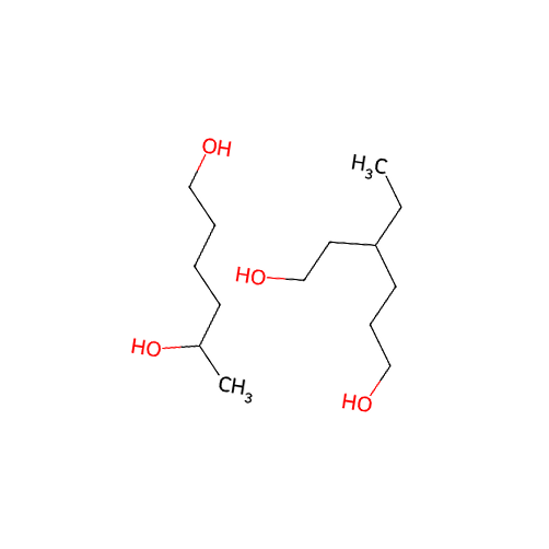 CC(O)CCCCO.CCC(CCO)CCCO